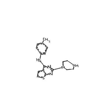 Cc1ccc(Nc2nc(N3CCNCC3)nc3sccc23)cc1